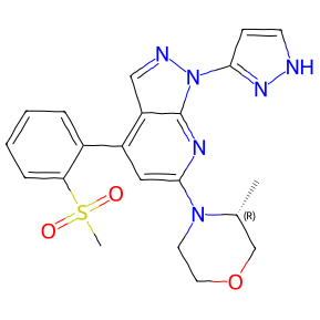 C[C@@H]1COCCN1c1cc(-c2ccccc2S(C)(=O)=O)c2cnn(-c3cc[nH]n3)c2n1